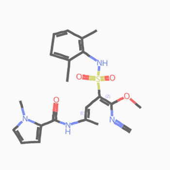 C=N/C(OC)=C(\C=C(/C)NC(=O)c1cccn1C)S(=O)(=O)Nc1c(C)cccc1C